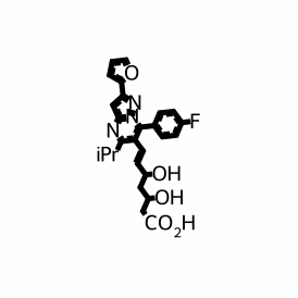 CC(C)c1nc2cc(-c3ccco3)nn2c(-c2ccc(F)cc2)c1/C=C/C(O)CC(O)CC(=O)O